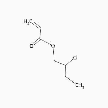 C=CC(=O)OCC(Cl)CC